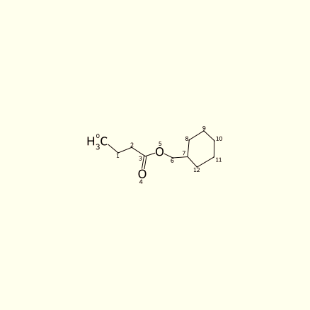 CCCC(=O)OCC1CCCCC1